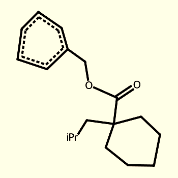 CC(C)CC1(C(=O)OCc2ccccc2)CCCCC1